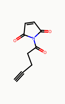 C#CCCC(=O)N1C(=O)C=CC1=O